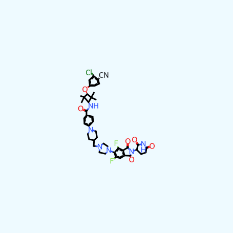 CC1(C)[C@H](NC(=O)c2ccc(N3CCC(CN4CCN(c5c(F)cc6c(c5F)C(=O)N(C5CCC(=O)NC5=O)C6=O)CC4)CC3)cc2)C(C)(C)[C@H]1Oc1ccc(C#N)c(Cl)c1